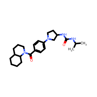 CC(C)NC(=O)NC1CCN(c2ccc(C(=O)N3CCCC4CCCCC43)cc2)C1